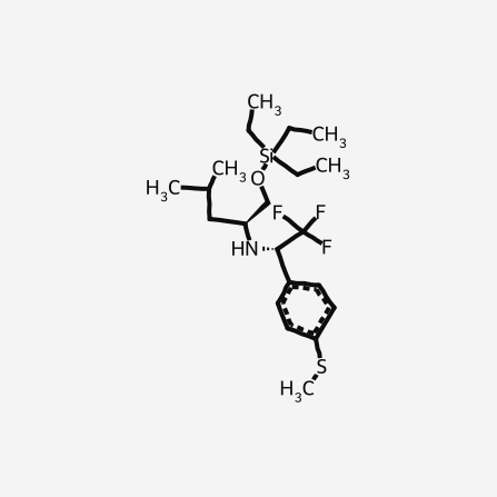 CC[Si](CC)(CC)OC[C@H](CC(C)C)N[C@@H](c1ccc(SC)cc1)C(F)(F)F